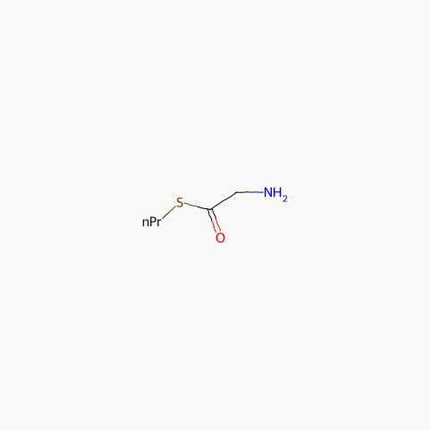 CCCSC(=O)CN